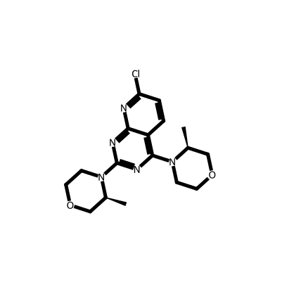 C[C@H]1COCCN1c1nc(N2CCOC[C@@H]2C)c2ccc(Cl)nc2n1